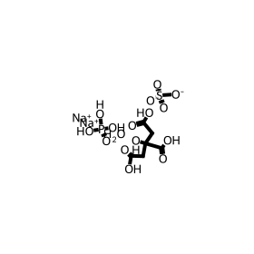 O.O=C(O)CC(O)(CC(=O)O)C(=O)O.O=P(O)(O)O.O=S(=O)([O-])[O-].[Na+].[Na+]